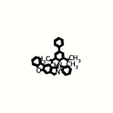 CC(C)C1=CC(c2ccccc2)=CC(C(C)C)C1n1c2[n+](c3ccccc31)Cc1cc3oc4ccccc4c3cc1-2